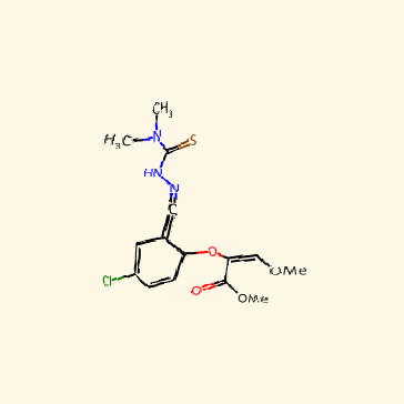 CO/C=C(/OC1C=CC(Cl)=CC1=C=NNC(=S)N(C)C)C(=O)OC